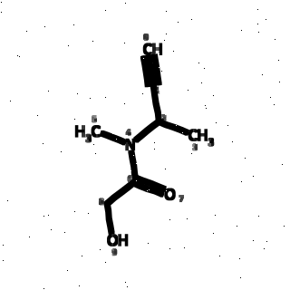 C#CC(C)N(C)C(=O)CO